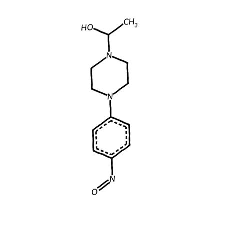 CC(O)N1CCN(c2ccc(N=O)cc2)CC1